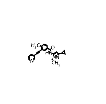 CCn1nc(C2CC2)cc1NC(=O)c1ccc(C)c(C#Cc2cccnc2)c1